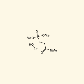 CCO.CNC(=O)CSP(=S)(OC)OC